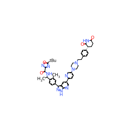 Cc1cc(-c2n[nH]c3ncc(-c4ccc(N5CCN(CCc6ccc([C@H]7CCC(=O)NC7=O)cc6)CC5)cn4)cc23)ccc1C(C)NC(=O)c1noc(C(C)(C)C)n1